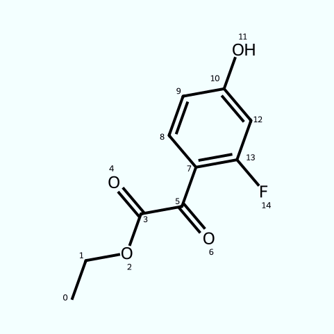 CCOC(=O)C(=O)c1ccc(O)cc1F